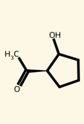 CC(=O)[C@@H]1CCCC1O